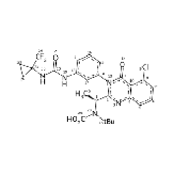 C[C@@H](c1nc2cccc(Cl)c2c(=O)n1-c1cccc(NC(=O)NC2(C(F)(F)F)CC2)c1)N(C(=O)O)C(C)(C)C